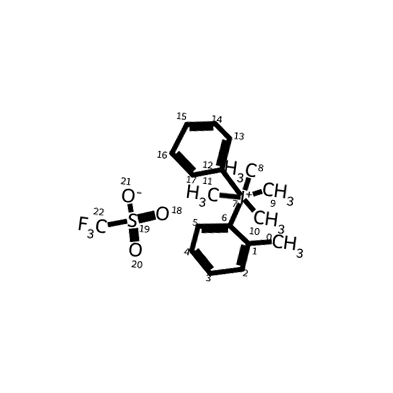 Cc1ccccc1[I+](C)(C)(C)(C)c1ccccc1.O=S(=O)([O-])C(F)(F)F